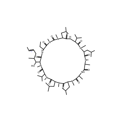 C/C=C/CC(C)C(O)C1C(=O)NC(CC)C(=O)N(C)C(=O)N(C)C(CC(C)C)C(=O)NC(C(C)C)C(=O)N(C)C(CC(C)C)C(=O)NC(C)C(=O)NC(C)C(=O)N(C)C(CC(C)C)C(=O)N(C)C(CC(C)C)C(=O)N(C)C(C(C)C)C(=O)N1C